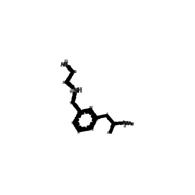 CNC(C)Cc1cccc(CNCCS)c1